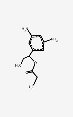 CCC(=O)OC(CC)c1cc(N)cc(N)c1